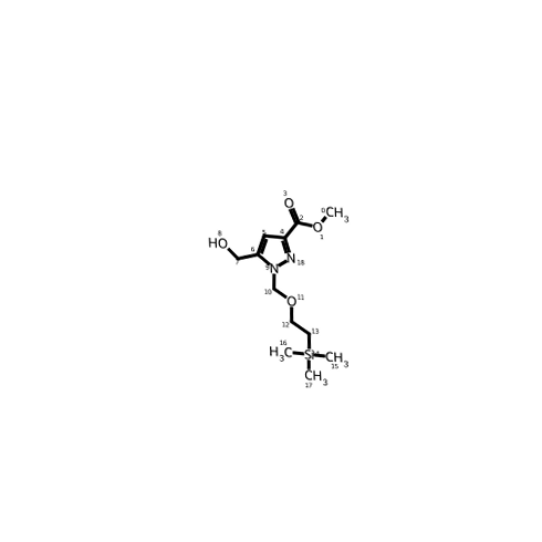 COC(=O)c1cc(CO)n(COCC[Si](C)(C)C)n1